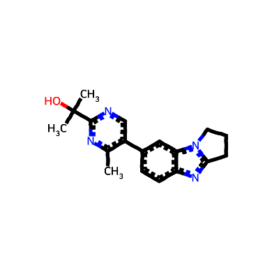 Cc1nc(C(C)(C)O)ncc1-c1ccc2nc3n(c2c1)CCC3